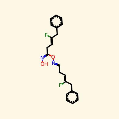 ON=C(CC=C(F)Cc1ccccc1)ON=CCC=C(F)Cc1ccccc1